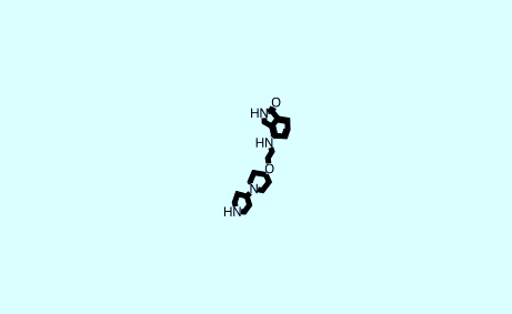 O=C1NCc2c(NCCOC3CCN(C4CCNCC4)CC3)cccc21